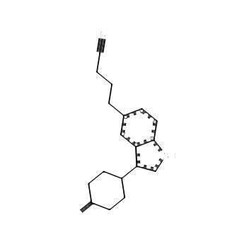 N#CCCCc1ccc2[nH]cc(C3CCC(=O)CC3)c2c1